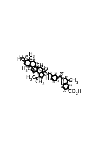 C=C(C)[C@@H]1CCC2(C(=O)NCc3cccc(C(=O)NCC(C)c4cccc(C(=O)O)c4)c3)CC[C@]3(C)C(CCC4C5(C)CCC(O)C(C)(C)C5CCC43C)C12